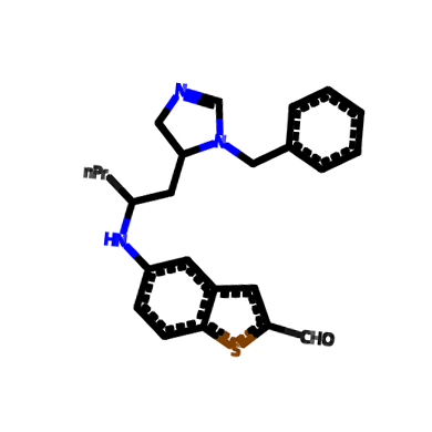 CCCC(CC1CN=CN1Cc1ccccc1)Nc1ccc2sc(C=O)cc2c1